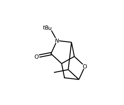 CC1C2CC3C(=O)N(C(C)(C)C)C1C3O2